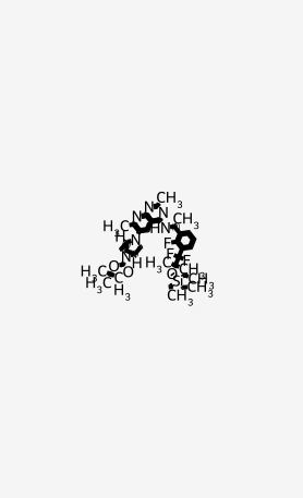 CC[Si](CC)(CC)OC(C)(C)C(F)(F)c1cccc([C@@H](C)Nc2nc(C)nc3nc(C)c(N4C[C@@H]5C[C@H]4CN5C(=O)OC(C)(C)C)cc23)c1F